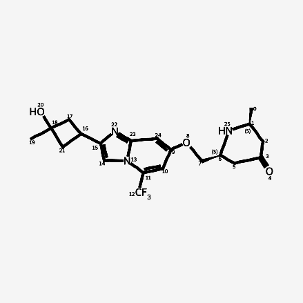 C[C@H]1CC(=O)C[C@@H](COc2cc(C(F)(F)F)n3cc(C4CC(C)(O)C4)nc3c2)N1